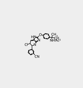 CC(=O)NC(C)(C)c1ccc(Oc2nc3c([nH]2)=CC(Cl)C(c2cccc(C#N)c2)N=3)cc1